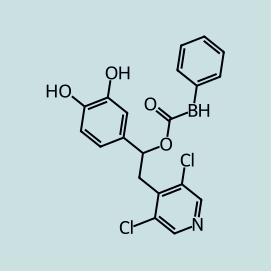 O=C(Bc1ccccc1)OC(Cc1c(Cl)cncc1Cl)c1ccc(O)c(O)c1